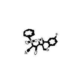 N#CC(C(=O)c1onc2c1CSc1ccc(F)cc1-2)S(=O)(=O)c1ccccc1